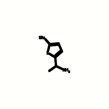 CC(N)c1ccc(C(C)(C)C)s1